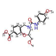 COCC1CN(C(=O)Nc2ccc(OC)cc2)Cc2ccc(C(=O)OC)cc2O1